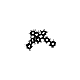 c1ccc(-c2ccc(C(c3ccccc3)c3cccc4oc5c6ccccc6c(-c6ccc7c(c6)sc6ccccc67)cc5c34)cc2)cc1